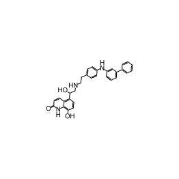 O=c1ccc2c(C(O)CNCCc3ccc(Nc4cccc(-c5ccccc5)c4)cc3)ccc(O)c2[nH]1